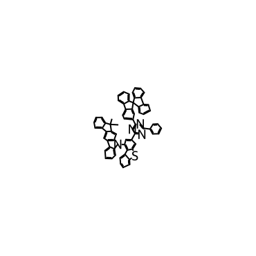 CC1(C)c2ccccc2-c2cc3c4ccccc4n(-c4cc(-c5nc(-c6ccccc6)nc(-c6ccc7c(c6)C6(c8ccccc8-c8ccccc86)c6ccccc6-7)n5)cc5sc6ccccc6c45)c3cc21